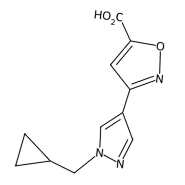 O=C(O)c1cc(-c2cnn(CC3CC3)c2)no1